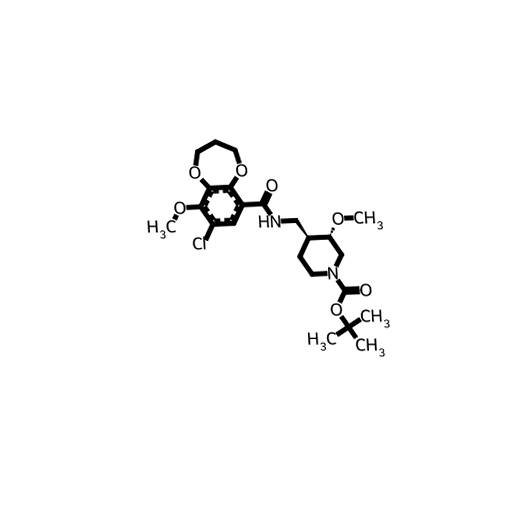 COc1c(Cl)cc(C(=O)NC[C@@H]2CCN(C(=O)OC(C)(C)C)C[C@H]2OC)c2c1OCCCO2